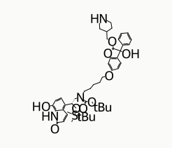 CC(C)(C)OC(=O)N(CCCCCOc1ccc(C(O)(C(=O)OCC2CCNCC2)c2ccccc2)cc1)C[C@H](O[Si](C)(C)C(C)(C)C)c1ccc(O)c2[nH]c(=O)ccc12